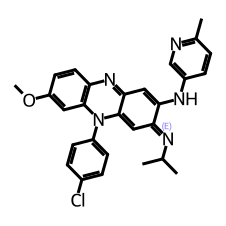 COc1ccc2nc3cc(Nc4ccc(C)nc4)/c(=N/C(C)C)cc-3n(-c3ccc(Cl)cc3)c2c1